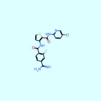 N=C(N)c1ccc(C(=O)Nc2ccsc2C(=O)Nc2ccc(Cl)cn2)c(F)c1